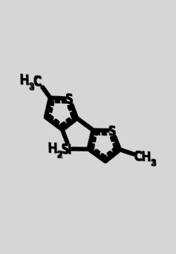 Cc1cc2c(s1)-c1sc(C)cc1[SiH2]2